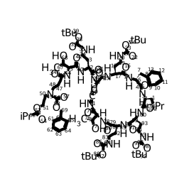 CC(C)C[C@@H]1NC(=O)[C@@H](Cc2ccccc2)NC(=O)[C@H](CCNC(=O)OC(C)(C)C)NC(=O)[C@@H](NC(=O)[C@H](CCNC(=O)OC(C)(C)C)NC(=O)[C@@H](NC(=O)CCN(CCOC(=O)C(C)C)C(=O)OCc2ccccc2)[C@@H](C)O)CCNC(=O)[C@H]([C@@H](C)O)NC(=O)[C@H](CCNC(=O)OC(C)(C)C)NC(=O)[C@H](CCNC(=O)OC(C)(C)C)NC1=O